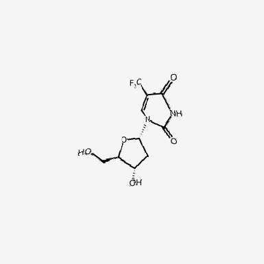 O=c1[nH]c(=O)n([C@@H]2C[C@H](O)[C@@H](CO)O2)cc1C(F)(F)F